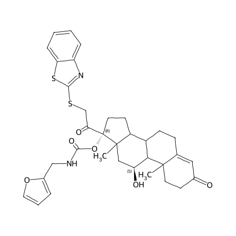 CC12CCC(=O)C=C1CCC1C2[C@@H](O)CC2(C)C1CC[C@]2(OC(=O)NCc1ccco1)C(=O)CSc1nc2ccccc2s1